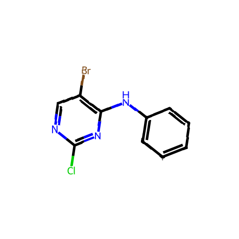 Clc1ncc(Br)c(Nc2c[c]ccc2)n1